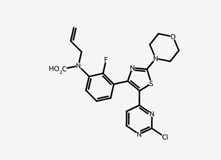 C=CCN(C(=O)O)c1cccc(-c2nc(N3CCOCC3)sc2-c2ccnc(Cl)n2)c1F